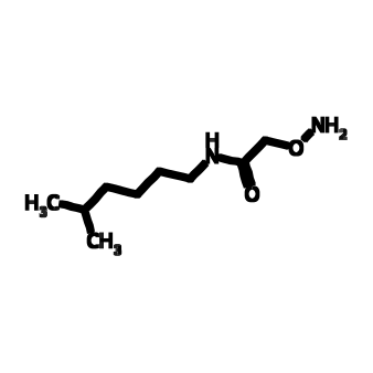 CC(C)CCCCNC(=O)CON